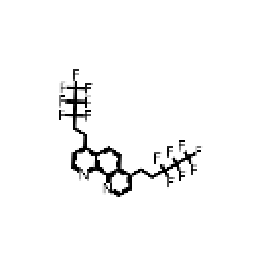 FC(F)(F)C(F)(F)C(F)(F)CCc1ccnc2c1ccc1c(CCC(F)(F)C(F)(F)C(F)(F)F)ccnc12